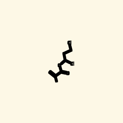 C=C(C)C(=O)OC(Cl)CCCl